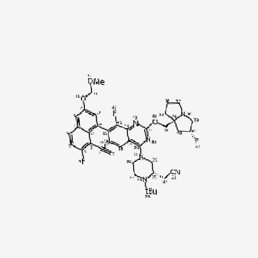 C#Cc1c(F)ccc2cc(OCOC)cc(-c3c(F)cc4c(N5CCN(C(C)(C)C)[C@@H](CC#N)C5)nc(OC[C@@]56CCCN5C[C@H](F)C6)nc4c3F)c12